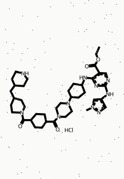 CCOC(=O)c1cnc(Nc2cnn(C)c2)nc1NC1CCC(N2CCN(C(=O)C3CCC(C(=O)N4CCC(CC5CCNCC5)CC4)CC3)CC2)CC1.Cl